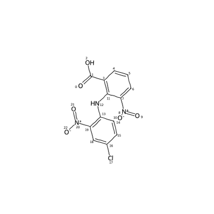 O=C(O)c1cccc([N+](=O)[O-])c1Nc1ccc(Cl)cc1[N+](=O)[O-]